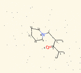 CC(C)C(=O)C(C)CN1CCCCC1